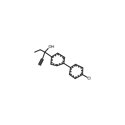 C#CC(O)(CC)c1ccc(-c2ccc(Cl)cc2)cc1